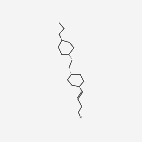 CCC[C@H]1CC[C@H](CC[C@H]2CC[C@H](C=CCCF)CC2)CC1